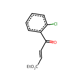 CCOC(=O)/C=C/C(=O)c1ccccc1Cl